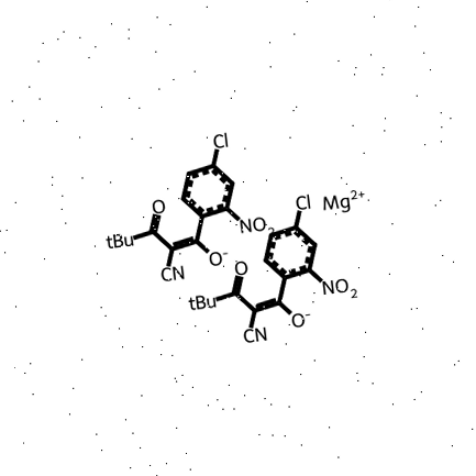 CC(C)(C)C(=O)C(C#N)=C([O-])c1ccc(Cl)cc1[N+](=O)[O-].CC(C)(C)C(=O)C(C#N)=C([O-])c1ccc(Cl)cc1[N+](=O)[O-].[Mg+2]